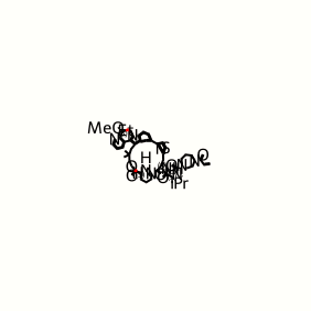 C=CC(=O)N1CCCN(C(=O)N(C)[C@H](C(=O)N[C@H]2Cc3nc(cs3)-c3ccc4c(c3)c(c(-c3cccnc3[C@H](C)OC)n4CC)CC(C)(C)COC(=O)[C@@H]3CCCN(N3)C2=O)C(C)C)CC1